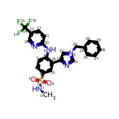 CNS(=O)(=O)c1ccc(Nc2ccc(C(F)(F)F)cn2)c(-c2cn(Cc3ccccc3)cn2)c1